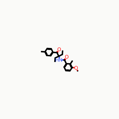 CCC(CC)(NC(=O)c1cccc(OC)c1C)C(=O)c1ccc(C)cc1